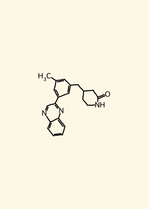 Cc1cc(CC2CCNC(=O)C2)cc(-c2cnc3ccccc3n2)c1